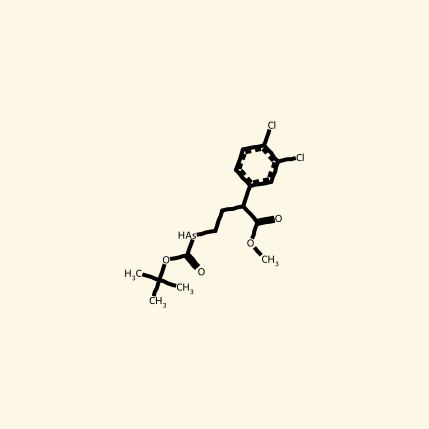 COC(=O)C(CC[AsH]C(=O)OC(C)(C)C)c1ccc(Cl)c(Cl)c1